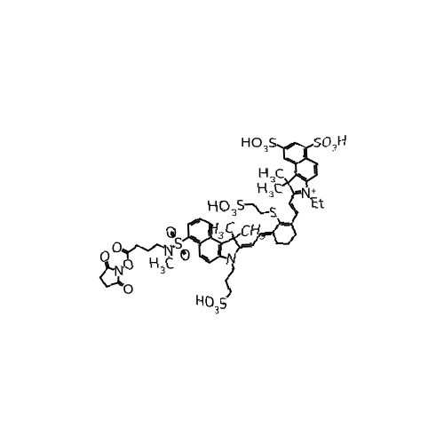 CC[N+]1=C(/C=C/C2=C(SCCS(=O)(=O)O)C(=C/C=C3/N(CCCS(=O)(=O)O)c4ccc5c(S(=O)(=O)N(C)CCCC(=O)ON6C(=O)CCC6=O)cccc5c4C3(C)C)/CCC2)C(C)(C)c2c1ccc1c(S(=O)(=O)O)cc(S(=O)(=O)O)cc21